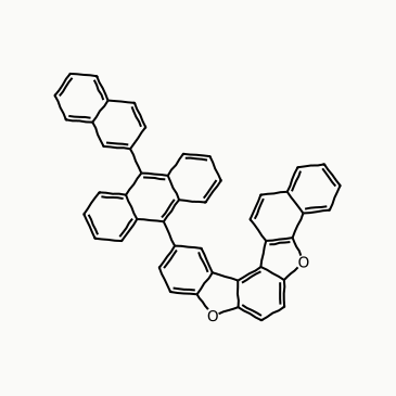 c1ccc2cc(-c3c4ccccc4c(-c4ccc5oc6ccc7oc8c9ccccc9ccc8c7c6c5c4)c4ccccc34)ccc2c1